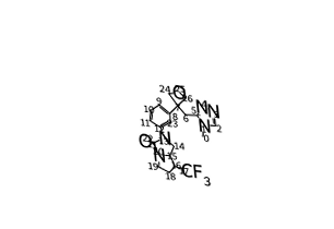 Cn1cnnc1CC1(c2cccc(N3CC4C(C(F)(F)F)CCN4C3=O)c2)COC1